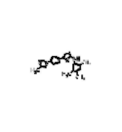 Cc1cn(-c2ccc(-c3csc(Nc4cc(C)c(C)cc4C)n3)cc2)cn1